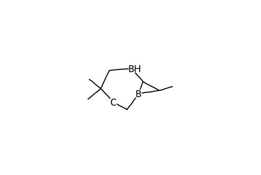 CC1B2CCC(C)(C)CBC21